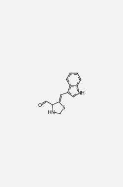 O=CC1NCSC1=Cc1c[nH]c2ccccc12